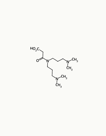 CN(C)CCCN(CCCN(C)C)C(=O)CC(=O)O